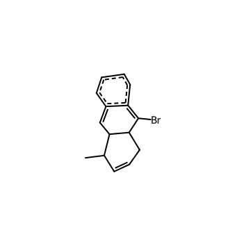 CC1C=CCC2C(Br)=c3ccccc3=CC12